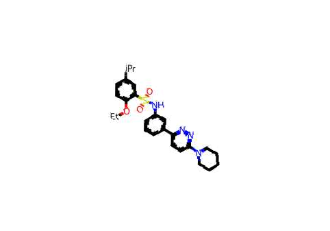 CCOc1ccc(C(C)C)cc1S(=O)(=O)Nc1cccc(-c2ccc(N3CCCCC3)nn2)c1